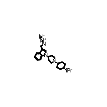 CC(C)[C@H]1CC[C@@H](N2CCC(n3cc(CN=[N+]=[N-])c4ccccc43)CC2)CC1